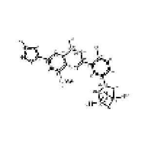 COc1cc(-c2cnn(C)c2)cc([C@@H](C)NC(=O)c2cc(N3C[C@H]4C[C@@H](C3)N4)ccc2C)c1